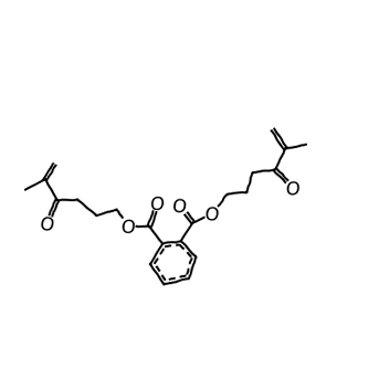 C=C(C)C(=O)CCCOC(=O)c1ccccc1C(=O)OCCCC(=O)C(=C)C